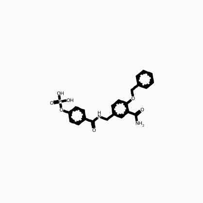 NC(=O)c1cc(CNC(=O)c2ccc(OP(=O)(O)O)cc2)ccc1OCc1ccccc1